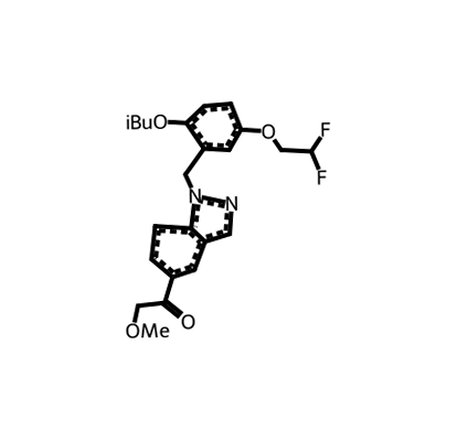 COCC(=O)c1ccc2c(cnn2Cc2cc(OCC(F)F)ccc2OCC(C)C)c1